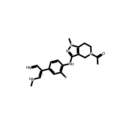 CN/C=C(\C=N)c1ccc(Nc2nn(C)c3c2CN(C(C)=O)CC3)c(F)c1